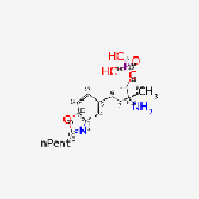 CCCCCc1nc2cc(CC[C@@](C)(N)COP(=O)(O)O)ccc2o1